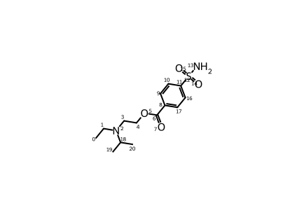 CCN(CCOC(=O)c1ccc(S(N)(=O)=O)cc1)C(C)C